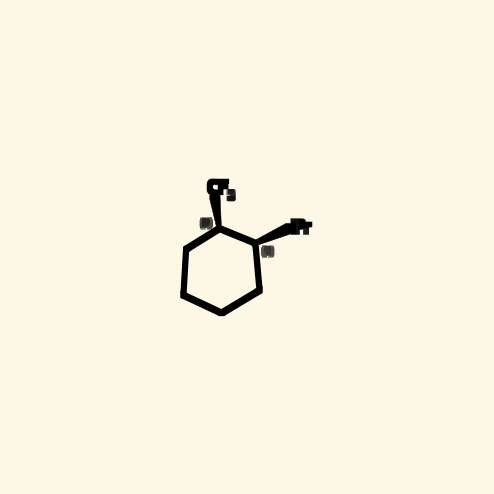 CC(C)[C@H]1CCCC[C@H]1C(F)(F)F